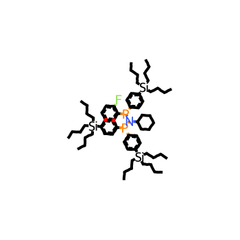 CCCC[Si](CCCC)(CCCC)c1ccc(P(c2ccc([Si](CCCC)(CCCC)CCCC)cc2)N(C2CCCCC2)P(c2ccc([Si](CCCC)(CCCC)CCCC)cc2)c2ccccc2F)cc1